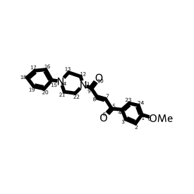 COc1ccc(C(=O)/C=C/C(=O)N2CCN(c3ccccc3)CC2)cc1